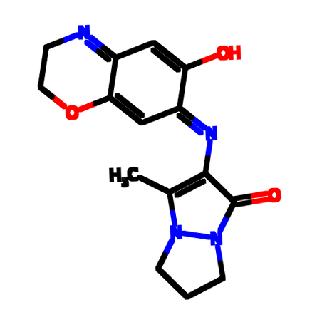 Cc1c(N=C2C=C3OCCN=C3C=C2O)c(=O)n2n1CCC2